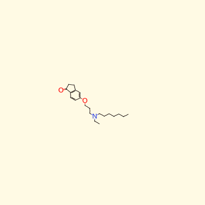 CCCCCCCN(CC)CCCOc1ccc2c(c1)CCC2=O